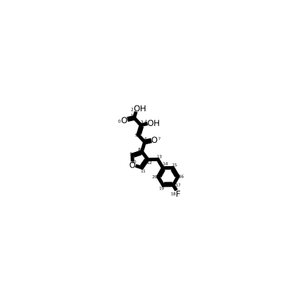 O=C(O)C(O)=CC(=O)c1cocc1Cc1ccc(F)cc1